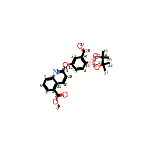 COC(=O)c1cccc2nc(Oc3ccc(B4OC(C)(C)C(C)(C)O4)c(C=O)c3)ccc12